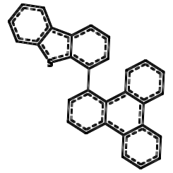 c1ccc2c(c1)sc1c(-c3cccc4c5ccccc5c5ccccc5c34)cccc12